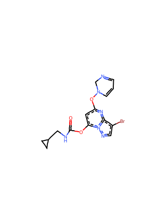 O=C(NCC1CC1)Oc1cc(ON2C=CC=NC2)nc2c(Br)cnn12